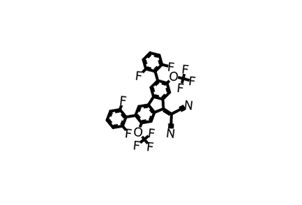 N#CC(C#N)=C1c2cc(OC(F)(F)F)c(-c3c(F)cccc3F)cc2-c2cc(-c3c(F)cccc3F)c(OC(F)(F)F)cc21